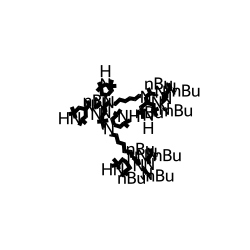 CCCCN(CCCC)c1nc(C(C)N(CCCCCCN(c2nc(N(CCCC)C3CC(C)(C)NC(C)(C)C3)nc(C(C)(C)CN(CCCCCCN(c3nc(N(CCCC)CCCC)nc(N(CCCC)CCCC)n3)C3CC(C)(C)NC(C)(C)C3)C3CC(C)(C)NC(C)(C)C3)n2)C2CC(C)(C)NC(C)(C)C2)C2CC(C)(C)NC(C)(C)C2)nc(N(CCCC)CCCC)n1